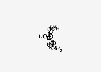 Nc1ncnn2c([C@H]3C[C@H](O)C(COP(=O)(O)S)O3)cnc12